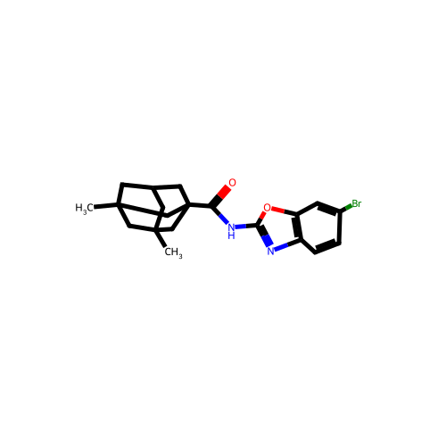 CC12CC3CC(C)(C1)CC(C(=O)Nc1nc4ccc(Br)cc4o1)(C3)C2